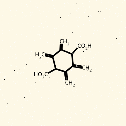 C=C1C(=C)C(C(=O)O)C(=C)C(=C)C1C(=O)O